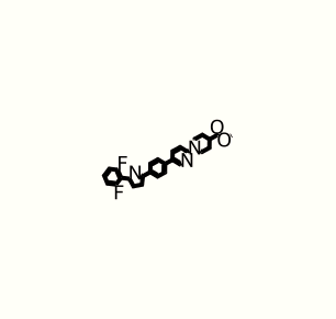 COC(=O)C1CCN(c2ccc(-c3ccc(C4CCC(c5c(F)cccc5F)=N4)cc3)cn2)CC1